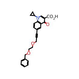 O=C(O)c1cn(C2CC2)c2ccc(C#CCOCCOCc3ccccc3)cc2c1=O